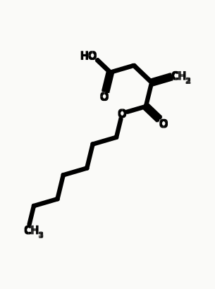 C=C(CC(=O)O)C(=O)OCCCCCCC